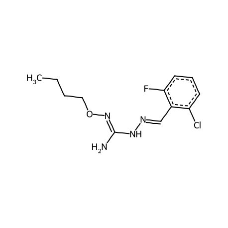 CCCCON=C(N)NN=Cc1c(F)cccc1Cl